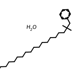 CCCCCCCCCCCCCCCCCC(C)(C)Cc1ccccc1.O